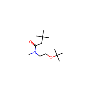 CN(CCOC(C)(C)C)C(=O)CC(C)(C)C